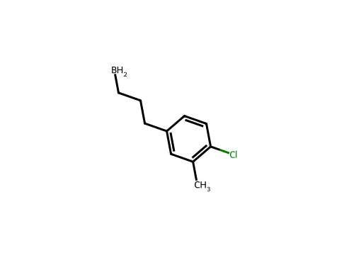 BCCCc1ccc(Cl)c(C)c1